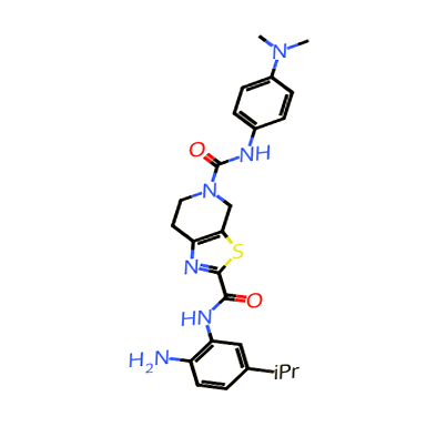 CC(C)c1ccc(N)c(NC(=O)c2nc3c(s2)CN(C(=O)Nc2ccc(N(C)C)cc2)CC3)c1